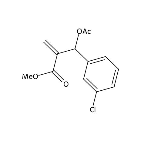 C=C(C(=O)OC)C(OC(C)=O)c1cccc(Cl)c1